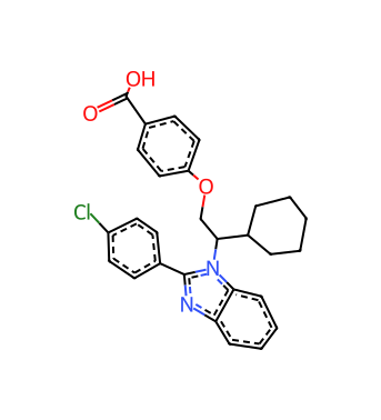 O=C(O)c1ccc(OCC(C2CCCCC2)n2c(-c3ccc(Cl)cc3)nc3ccccc32)cc1